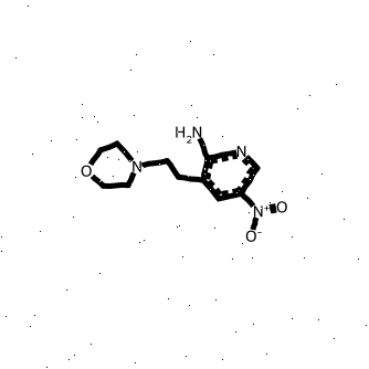 Nc1ncc([N+](=O)[O-])cc1CCN1CCOCC1